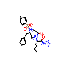 CCCC[C@@H](C(N)=O)N1C[C@@H](Cc2ccccc2)N(S(=O)(=O)c2ccc(C)cc2)CC1=O